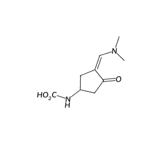 CN(C)C=C1CC(NC(=O)O)CC1=O